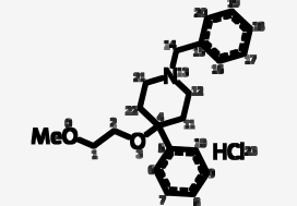 COCCOC1(c2ccccc2)CCN(Cc2ccccc2)CC1.Cl